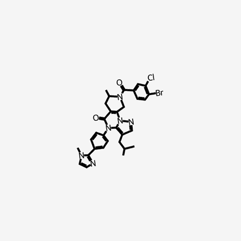 CC(C)Cc1cnn2c3c(c(=O)n(-c4ccc(-c5nccn5C)cc4)c12)CC(C)N(C(=O)c1ccc(Br)c(Cl)c1)C3